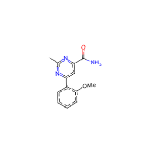 COc1ccccc1-c1cc(C(N)=O)nc(C)n1